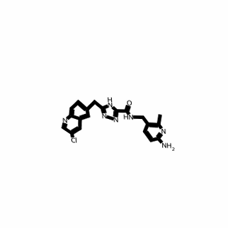 Cc1nc(N)ccc1CNC(=O)c1nnc(Cc2ccc3ncc(Cl)cc3c2)[nH]1